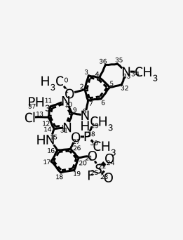 COc1cc2c(cc1Nc1ncc(Cl)c(Nc3cccc(OS(=O)(=O)F)c3OP(C)C)n1)CN(C)CC2.P